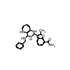 Cc1oc2c(C(N)=O)cccc2c1C1NC2=C(NC=CC=C2)C(NCc2ccccc2)N1